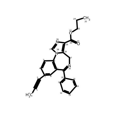 CC#Cc1ccc2c(c1)C(c1ccccc1)=NCc1c(C(=O)OCCC)ncn1-2